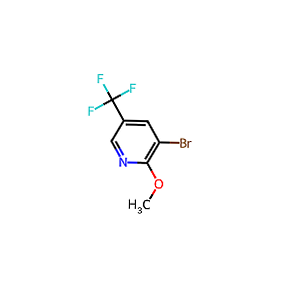 COc1ncc(C(F)(F)F)cc1Br